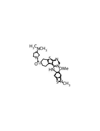 COc1cc2c(cc1Nc1ncnc3sc4c(c13)CC[C@H](C(=O)N1CC[C@@H](N(C)C)C1)C4)sn2C